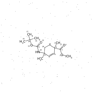 COC(=O)C1(C)C=CC(C)(NC(=O)OC(C)(C)C)CC1